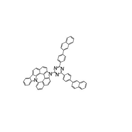 c1ccc2cc(-c3ccc(-c4nc(-c5ccc(-c6ccc7ccccc7c6)cc5)nc(-n5c6ccc7cccc8c7c6c6c7c(ccc9c%10ccccc%10n8c97)ccc65)n4)cc3)ccc2c1